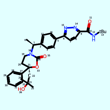 C[C@@H](c1ccc(-c2ccc(C(=O)NC(C)(C)C)nn2)cc1)N1CC[C@](CC(C)(C)O)(c2ccccc2)OC1=O